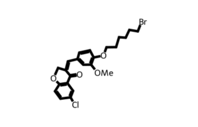 COc1cc(C=C2COc3ccc(Cl)cc3C2=O)ccc1OCCCCCCBr